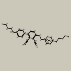 CCCCCC12CCC(CCc3ccc(-c4ccc(OCCCC)cc4)c(C#N)c3C#N)(CC1)CC2